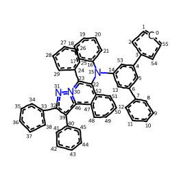 c1ccc(-c2cc(-c3ccccc3)cc(N(c3ccccc3)c3c(-c4ccccc4)n4nc(-c5ccccc5)c(-c5ccccc5)c4c4ccccc34)c2)cc1